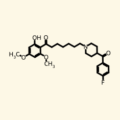 COc1cc(O)c(C(=O)CCCCCCN2CCC(C(=O)c3ccc(F)cc3)CC2)c(OC)c1